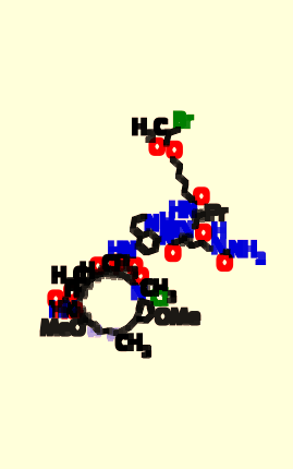 C=C(CBr)C(=O)OCCCCCC(=O)N[C@H](C(=O)N[C@@H](CCCNC(N)=O)C(=O)Nc1ccc(NC(=O)O[C@H]2CC(=O)N(C)c3cc(cc(OC)c3Cl)C/C(C)=C/C=C/[C@@H](OC)[C@@]3(O)C[C@H](OC(=O)N3)[C@@H](C)[C@@H]3O[C@@]23C)c2cccnc12)C(C)C